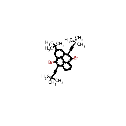 CC(C)(C)c1cc2c(Br)c(C#C[Si](C)(C)C)c3cccc4c(Br)c(C#C[Si](C)(C)C)c(c1)c2c43